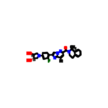 CCc1cc(C(=O)N2CCc3ccccc3[C@H]2C)nn2cc(-c3ccc(N4C[C@H](O)[C@@H](O)C4)cc3F)nc12